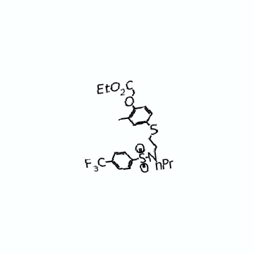 CCCN(CCSc1ccc(OCC(=O)OCC)c(C)c1)S(=O)(=O)c1ccc(C(F)(F)F)cc1